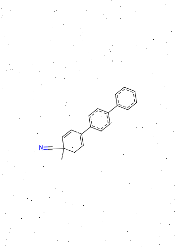 CC1(C#N)C=CC(c2ccc(-c3ccccc3)cc2)=CC1